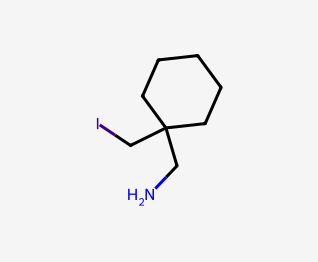 NCC1(CI)CCCCC1